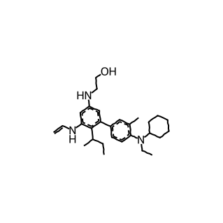 C=CNc1cc(NCCO)cc(-c2ccc(N(CC)C3CCCCC3)c(C)c2)c1C(C)CC